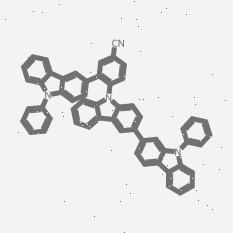 N#Cc1ccc(-n2c3ccccc3c3cc(-c4ccc5c6ccccc6n(-c6ccccc6)c5c4)ccc32)c(-c2ccc3c(c2)c2ccccc2n3-c2ccccc2)c1